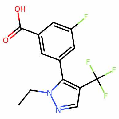 CCn1ncc(C(F)(F)F)c1-c1cc(F)cc(C(=O)O)c1